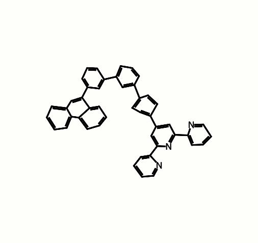 c1ccc(-c2cc(-c3ccc(-c4cccc(-c5cccc(-c6cc7ccccc7c7ccccc67)c5)c4)cc3)cc(-c3ccccn3)n2)nc1